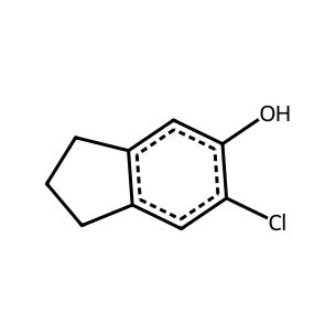 Oc1cc2c(cc1Cl)CCC2